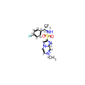 C[n+]1ccn2cc(S(=O)(=O)N[C@H](c3ccc(F)cc3)C(F)(F)F)nc2c1